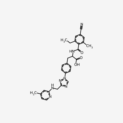 CCc1cc(C#N)cc(C)c1C(=O)NC(Cc1ccc(-n2cnc(CNc3cc(C)ccn3)n2)cc1)C(=O)O